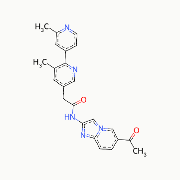 CC(=O)c1ccc2nc(NC(=O)Cc3cnc(-c4ccnc(C)c4)c(C)c3)cn2c1